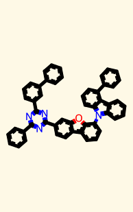 c1ccc(-c2cccc(-c3nc(-c4ccccc4)nc(-c4ccc5c(c4)oc4c(-n6c7ccccc7c7c(-c8ccccc8)cccc76)cccc45)n3)c2)cc1